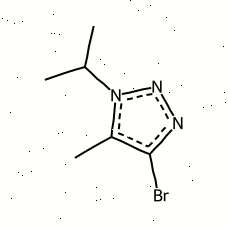 Cc1c(Br)nnn1C(C)C